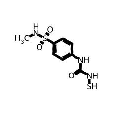 CNS(=O)(=O)c1ccc(NC(=O)NS)cc1